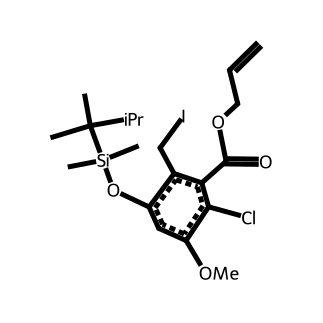 C=CCOC(=O)c1c(Cl)c(OC)cc(O[Si](C)(C)C(C)(C)C(C)C)c1CI